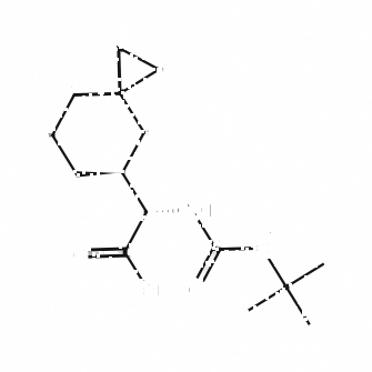 CC(C)(C)OC(=O)N[C@H](C(=O)O)[C@H]1CCCC2(CC2)C1